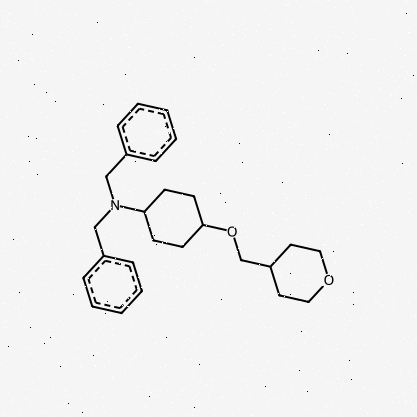 c1ccc(CN(Cc2ccccc2)C2CCC(OCC3CCOCC3)CC2)cc1